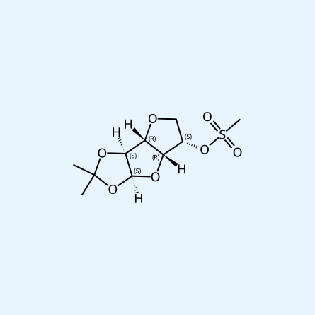 CC1(C)O[C@@H]2O[C@@H]3[C@@H](OC[C@@H]3OS(C)(=O)=O)[C@@H]2O1